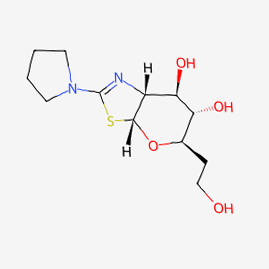 OCC[C@H]1O[C@@H]2SC(N3CCCC3)=N[C@@H]2[C@@H](O)[C@@H]1O